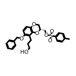 Cc1ccc(S(=O)(=O)OC[C@H]2COc3ccc(OCc4ccccc4)c(CCCO)c3O2)cc1